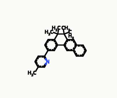 Cc1ccc(-c2ccc3c(c2)-c2cc4ccccc4cc2C(C)(C)C3(C)C)nc1